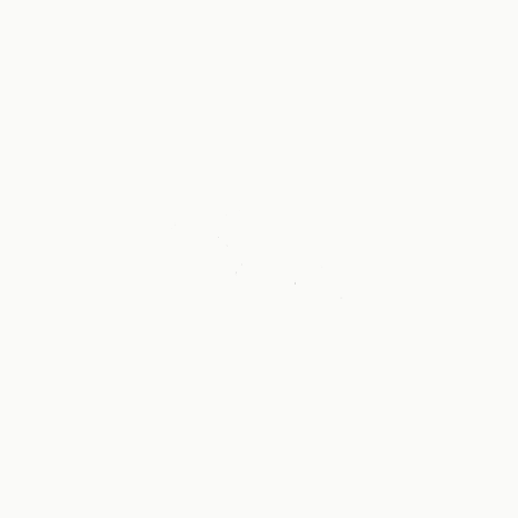 C=CC(C)C(=O)SCCCC